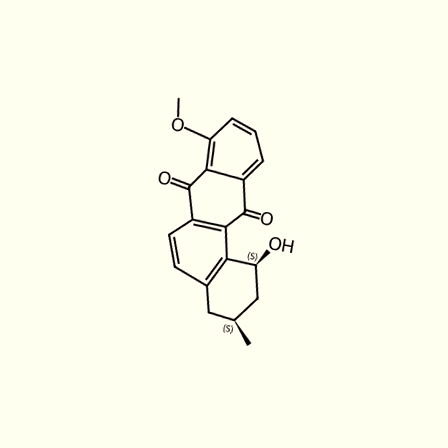 COc1cccc2c1C(=O)c1ccc3c(c1C2=O)[C@@H](O)C[C@@H](C)C3